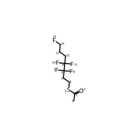 CC(=O)SCCC(F)(F)C(F)(F)CCCF